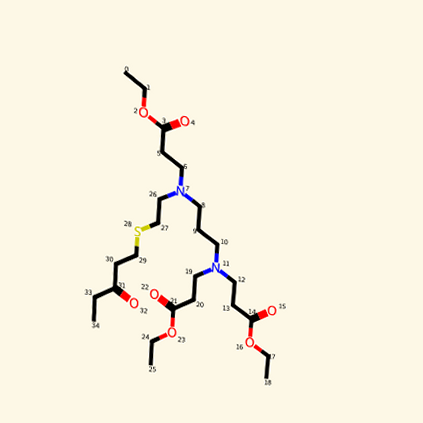 CCOC(=O)CCN(CCCN(CCC(=O)OCC)CCC(=O)OCC)CCSCCC(=O)CC